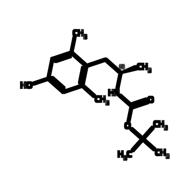 Cc1cc(O)cc(C)c1C[C@@H](C)NC(=O)OC(C)(C)C